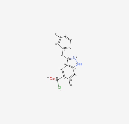 Cc1cccc(Cc2n[nH]c3cc(C)c(C(=O)Cl)cc23)c1